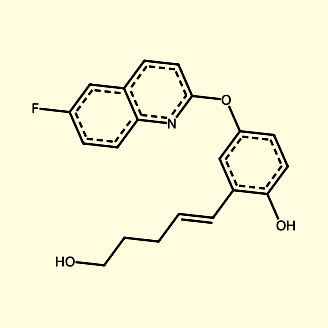 OCCCC=Cc1cc(Oc2ccc3cc(F)ccc3n2)ccc1O